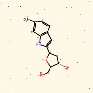 O=[N+]([O-])c1ccc2cc(C3C[C@H](O)[C@@H](CO)O3)[nH]c2c1